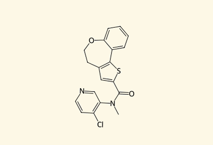 CN(C(=O)c1cc2c(s1)-c1ccccc1OCC2)c1cnccc1Cl